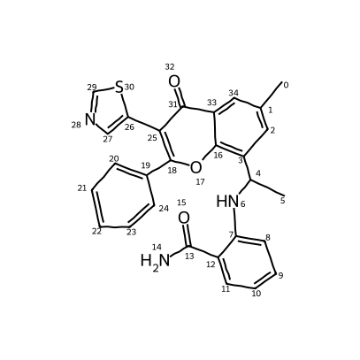 Cc1cc(C(C)Nc2ccccc2C(N)=O)c2oc(-c3ccccc3)c(-c3cncs3)c(=O)c2c1